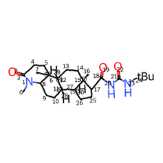 CN1C(=O)CC[C@@]2(C)C1CC[C@@H]1[C@H]2CC[C@]2(C)C(C(=O)NC(=O)NC(C)(C)C)CC[C@@H]12